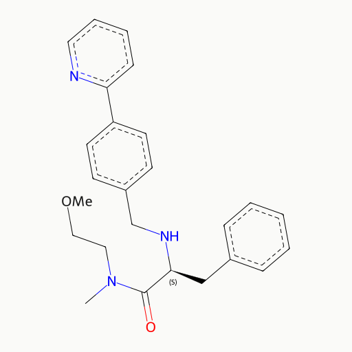 COCCN(C)C(=O)[C@H](Cc1ccccc1)NCc1ccc(-c2ccccn2)cc1